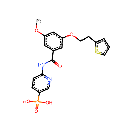 CC(C)Oc1cc(OCCc2cccs2)cc(C(=O)Nc2ccc(P(=O)(O)O)cn2)c1